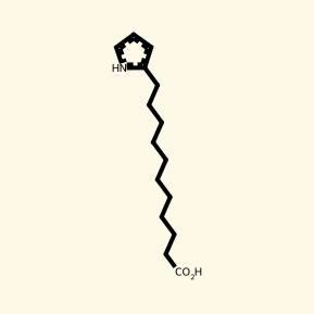 O=C(O)CCCCCCCCCCc1ccc[nH]1